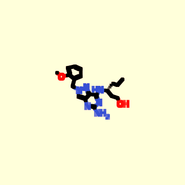 CCC[C@H](CCO)Nc1nc(N)nc2cn(Cc3ccccc3OC)nc12